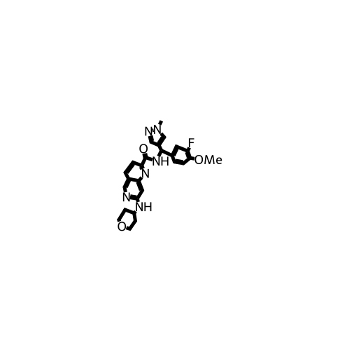 COc1ccc(C(NC(=O)c2ccc3cnc(NC4CCOCC4)cc3n2)c2cnn(C)c2)cc1F